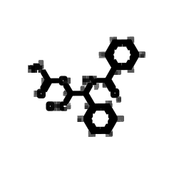 CCCC(=O)OC(C=O)C(NC(=O)c1ccccc1)c1ccccc1